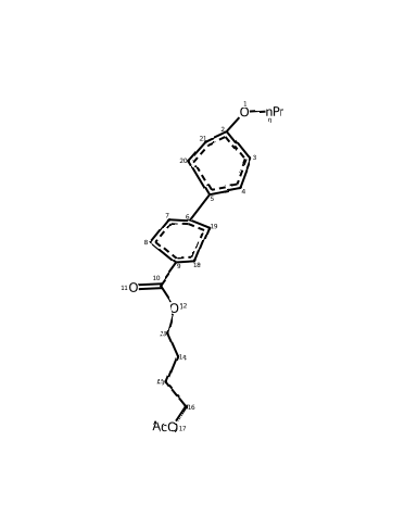 CCCOc1ccc(-c2ccc(C(=O)OCCCCOC(C)=O)cc2)cc1